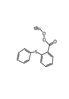 CC(C)(C)OOC(=O)c1ccccc1Sc1ccccc1